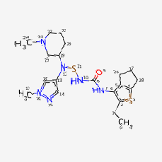 CCc1sc2c(c1NC(=O)NSN(c1cnn(C)c1)C1CCCN(C)C1)CCC2